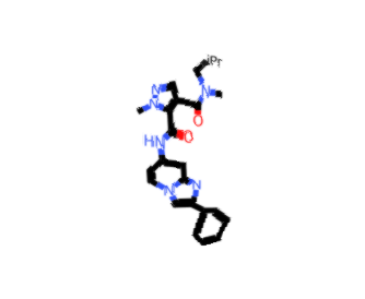 CC(C)CN(C)C(=O)c1cnn(C)c1C(=O)Nc1ccn2cc(-c3ccccc3)nc2c1